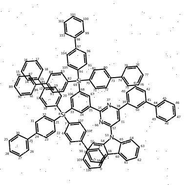 c1ccc(-c2ccc([Si](c3ccc(-c4ccccc4)cc3)(c3ccc(-c4ccccc4)cc3)c3cc(-c4nc(-c5cccc(-c6ccccc6)c5)cc(-n5c6ccccc6c6ccccc65)n4)cc([Si](c4ccc(-c5ccccc5)cc4)(c4ccc(-c5ccccc5)cc4)c4ccc(-c5ccccc5)cc4)c3)cc2)cc1